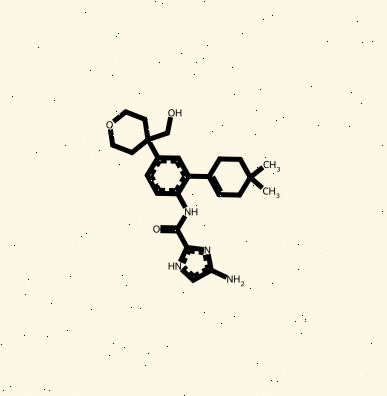 CC1(C)CC=C(c2cc(C3(CO)CCOCC3)ccc2NC(=O)c2nc(N)c[nH]2)CC1